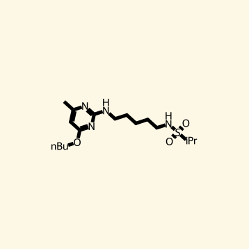 CCCCOc1cc(C)nc(NCCCCCNS(=O)(=O)C(C)C)n1